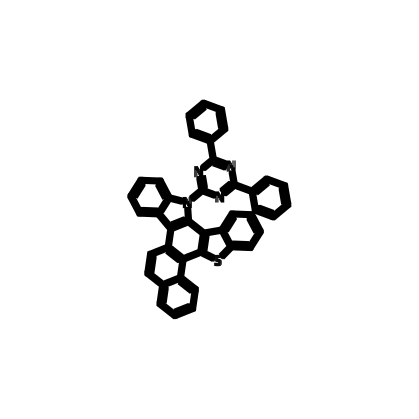 c1ccc(-c2nc(-c3ccccc3)nc(-n3c4ccccc4c4c5ccc6ccccc6c5c5sc6ccccc6c5c43)n2)cc1